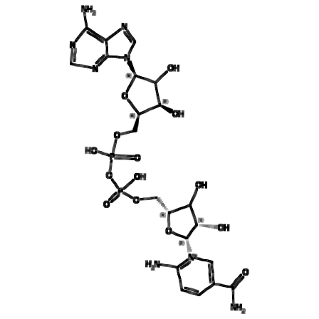 NC(=O)c1ccc(N)[n+]([C@@H]2O[C@H](COP(=O)(O)OP(=O)(O)OC[C@H]3O[C@@H](n4cnc5c(N)ncnc54)C(O)[C@H]3O)C(O)[C@@H]2O)c1